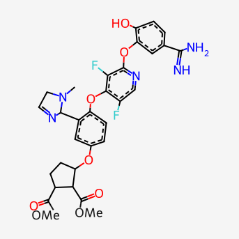 COC(=O)C1CCC(Oc2ccc(Oc3c(F)cnc(Oc4cc(C(=N)N)ccc4O)c3F)c(C3N=CCN3C)c2)C1C(=O)OC